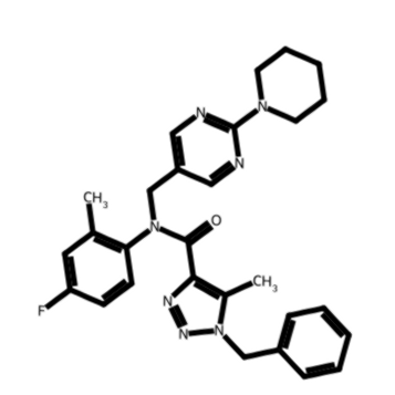 Cc1cc(F)ccc1N(Cc1cnc(N2CCCCC2)nc1)C(=O)c1nnn(Cc2ccccc2)c1C